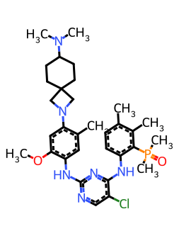 COc1cc(N2CC3(CCC(N(C)C)CC3)C2)c(C)cc1Nc1ncc(Cl)c(Nc2ccc(C)c(C)c2P(C)(C)=O)n1